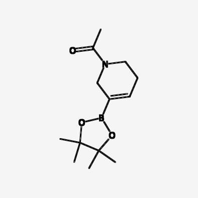 CC(=O)N1CCC=C(B2OC(C)(C)C(C)(C)O2)C1